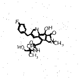 CN1Cc2c(c(O)c3ncc(Cc4ccc(F)cc4)cc3c2CC(=O)NC(C)(C)CO)C1=O